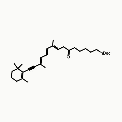 CCCCCCCCCCCCCCCC(=O)CC=C(C)C=CC=C(C)C#CC1=C(C)CCCC1(C)C